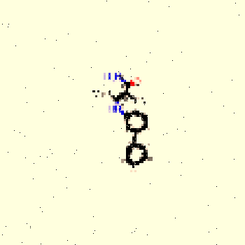 CSC(Nc1cccc(-c2ccccc2)c1)=C(C#N)C(N)=O